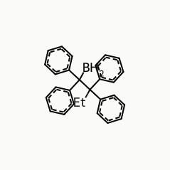 BC(c1ccccc1)(c1ccccc1)C(CC)(c1ccccc1)c1ccccc1